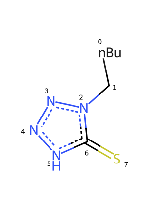 CCCCCn1nn[nH]c1=S